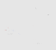 CC/C=C\CCCCOC(CCC(=O)OCCCCCCN(CCCCCCCC(=O)OCCCCCCCCC)CCCNc1c(NC)c(=O)c1=O)OCCCC/C=C\CC